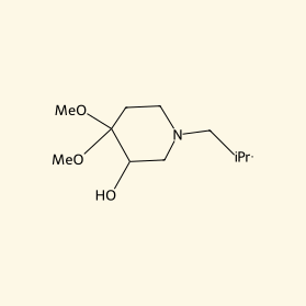 COC1(OC)CCN(C[C](C)C)CC1O